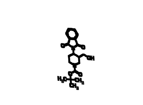 CC(C)(C)OC(=O)N1CCC(N2C(=O)c3ccccc3C2=O)C(CO)C1